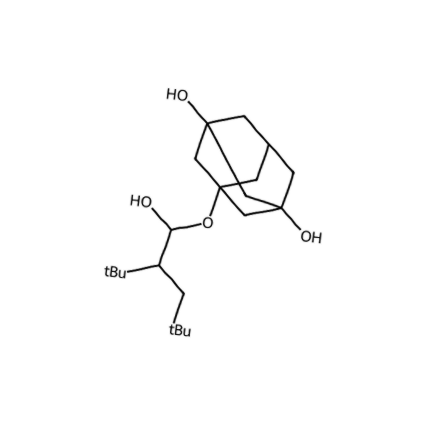 CC(C)(C)CC(C(O)OC12CC3CC(O)(CC(O)(C3)C1)C2)C(C)(C)C